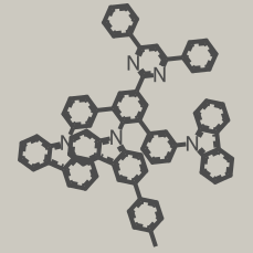 Cc1ccc(-c2ccc3c(c2)c2ccccc2n3-c2c(-c3cccc(-n4c5ccccc5c5ccccc54)c3)cc(-c3nc(-c4ccccc4)cc(-c4ccccc4)n3)cc2-c2cccc(-n3c4ccccc4c4ccccc43)c2)cc1